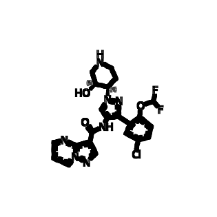 O=C(Nc1cn([C@@H]2CCNC[C@@H]2O)nc1-c1cc(Cl)ccc1OC(F)F)c1cnn2cccnc12